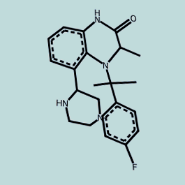 CC1C(=O)Nc2cccc(C3C[N]CCN3)c2N1C(C)(C)c1ccc(F)cc1